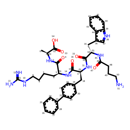 C[C@H](NC(=O)[C@H](CCCCNC(=N)N)NC(=O)[C@H](Cc1ccc(-c2ccccc2)cc1)NC(=O)[C@H](Cc1c[nH]c2ccccc12)NC(=O)CCCN)C(=O)O